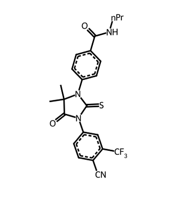 CCCNC(=O)c1ccc(N2C(=S)N(c3ccc(C#N)c(C(F)(F)F)c3)C(=O)C2(C)C)cc1